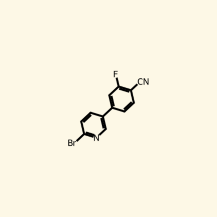 N#Cc1ccc(-c2ccc(Br)nc2)cc1F